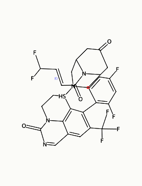 O=C1CC2CN([SH]3CCn4c(=O)ncc5cc(C(F)(F)F)c(-c6ccc(F)cc6F)c3c54)CC(C1)N2C(=O)/C=C/C(F)F